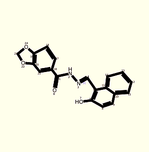 O=C(N/N=C/c1c(O)ccc2ccccc12)c1ccc2c(c1)OCO2